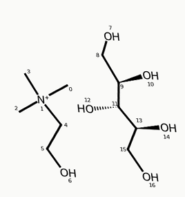 C[N+](C)(C)CCO.OC[C@@H](O)[C@@H](O)[C@@H](O)CO